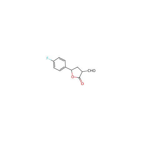 O=CC1CC(c2ccc(F)cc2)OC1=O